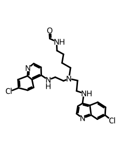 O=CNCCCCN(CCNc1ccnc2cc(Cl)ccc12)CCNc1ccnc2cc(Cl)ccc12